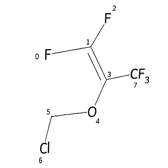 FC(F)=C(OCCl)C(F)(F)F